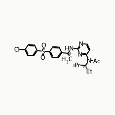 CC[C@H](C(C)C)N(C(C)=O)c1ccnc(N[C@@H](C)c2ccc(S(=O)(=O)c3ccc(Cl)cc3)cc2)n1